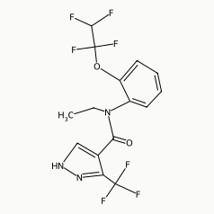 CCN(C(=O)c1c[nH]nc1C(F)(F)F)c1ccccc1OC(F)(F)C(F)F